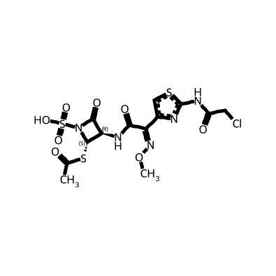 CON=C(C(=O)N[C@@H]1C(=O)N(S(=O)(=O)O)[C@H]1SC(C)=O)c1csc(NC(=O)CCl)n1